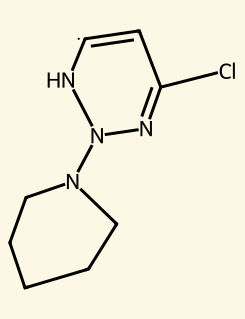 ClC1=NN(N2CCCCC2)N[C]=C1